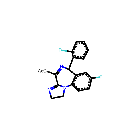 CC(=O)OC1=NC(c2ccccc2F)c2cc(F)ccc2N2CCN=C12